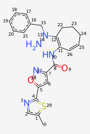 Cc1cnc(-c2cc(C(=O)NC3=C(N(N)Cc4ccccc4)CCCC=C3)no2)s1